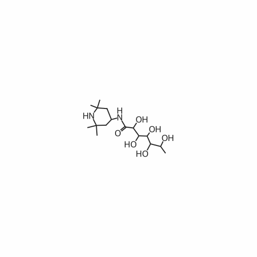 CC(O)C(O)C(O)C(O)C(O)C(=O)NC1CC(C)(C)NC(C)(C)C1